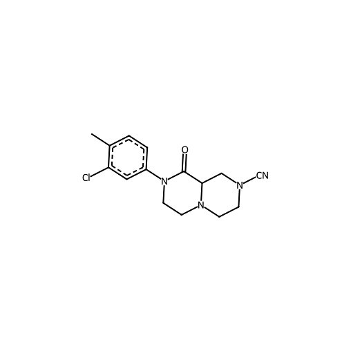 Cc1ccc(N2CCN3CCN(C#N)CC3C2=O)cc1Cl